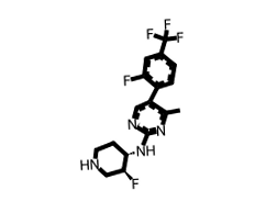 Cc1nc(N[C@H]2CCNC[C@@H]2F)ncc1-c1ccc(C(F)(F)F)cc1F